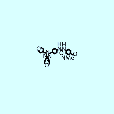 CNC(=O)c1ccc(NC(=O)Nc2ccc(-c3nc(C4CCOCC4)nc(N4C5CCC4COC5)n3)cc2)cc1